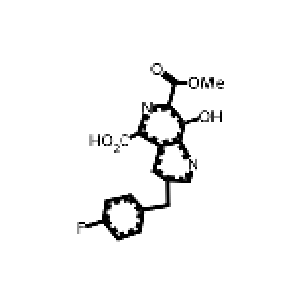 COC(=O)c1nc(C(=O)O)c2cc(Cc3ccc(F)cc3)cnc2c1O